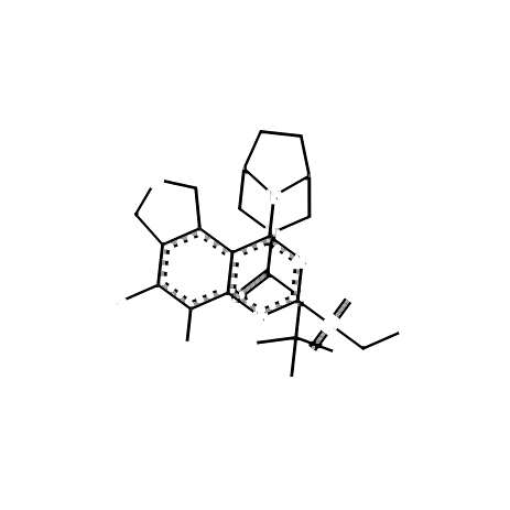 CCS(=O)(=O)c1nc(N2C3CCC2CN(C(=O)OC(C)(C)C)C3)c2c3c(c(Br)c(Cl)c2n1)COC3